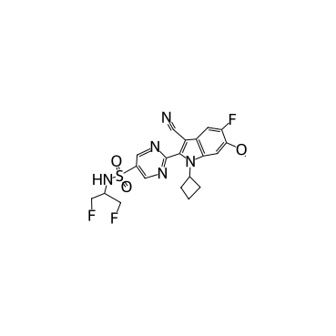 COc1cc2c(cc1F)c(C#N)c(-c1ncc(S(=O)(=O)NC(CF)CF)cn1)n2C1CCC1